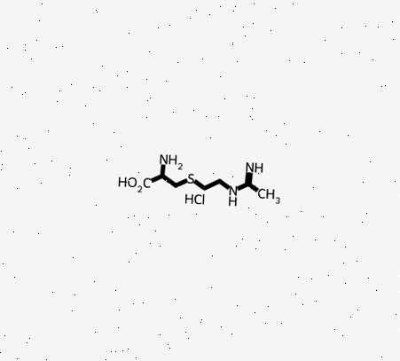 CC(=N)NCCSCC(N)C(=O)O.Cl